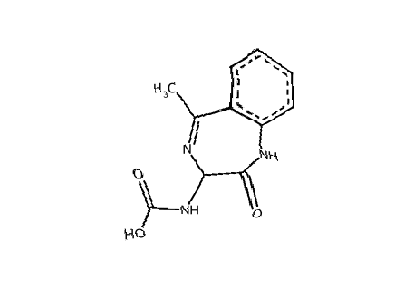 CC1=NC(NC(=O)O)C(=O)Nc2ccccc21